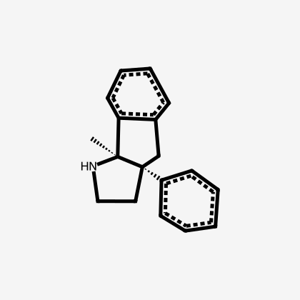 C[C@@]12NCC[C@]1(c1ccccc1)Cc1ccccc12